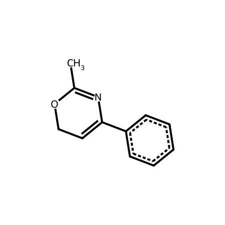 CC1=NC(c2ccccc2)=CCO1